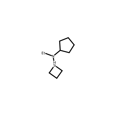 CCN(C1CCCC1)[SiH]1CCC1